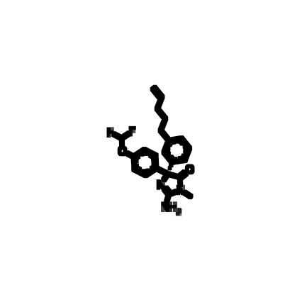 C=CCCCc1cccc([C@@]2(c3ccc(OC(F)F)cc3)N=C(N)N(C)C2=O)c1